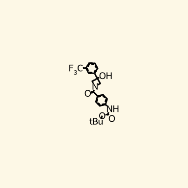 CC(C)(C)OC(=O)Nc1ccc(C(=O)N2CC(O)(c3cccc(C(F)(F)F)c3)C2)cc1